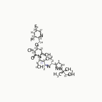 C=C/C(=C(C)\C=N/Cc1ccn(C(C)(C)CO)n1)n1c(C)cc(OCc2ncc(F)cc2F)c(Cl)c1=O